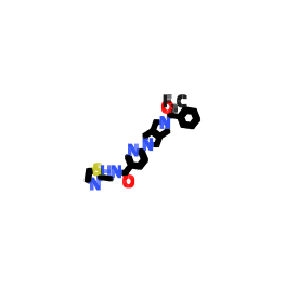 O=C(NCc1nccs1)c1ccc(N2CC3=C(CN(C(=O)c4ccccc4C(F)(F)F)C3)C2)nc1